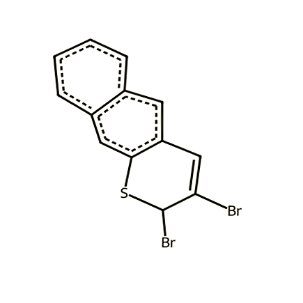 BrC1=Cc2cc3ccccc3cc2SC1Br